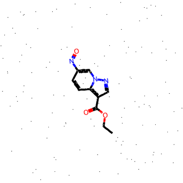 CCOC(=O)c1cnn2cc(N=O)ccc12